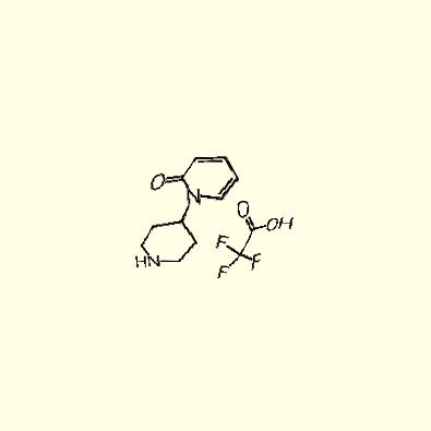 O=C(O)C(F)(F)F.O=c1ccccn1C1CCNCC1